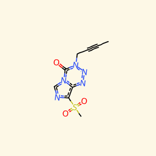 CC#CCn1nnc2c(S(C)(=O)=O)ncn2c1=O